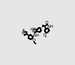 CCOc1ccc(-c2cnn(C)c2)cc1Nc1n[nH]c2cc([C@@H]3C[C@@]34C(=O)Nc3ccc(OC)cc34)ccc12